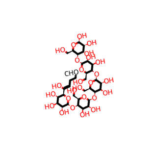 O=CCCC=C(O)[C@H]1O[C@H](O[C@H]2[C@H](O)[C@@H](O)[C@@H](O[C@H]3[C@H](O)[C@@H](O)[C@@H](O[C@H]4[C@H](O)[C@@H](O)[C@@H](O[C@H]5[C@H](O)[C@@H](O)[C@@H](O)O[C@@H]5CO)O[C@@H]4CO)O[C@@H]3CO)O[C@@H]2CO)[C@H](O)[C@@H](O)[C@@H]1O